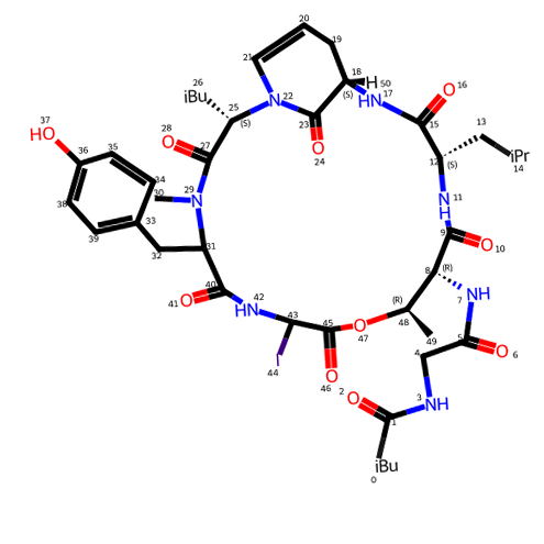 CCC(C)C(=O)NCC(=O)N[C@H]1C(=O)N[C@@H](CC(C)C)C(=O)N[C@H]2CC=CN(C2=O)[C@@H](C(C)CC)C(=O)N(C)C(Cc2ccc(O)cc2)C(=O)NC(I)C(=O)O[C@@H]1C